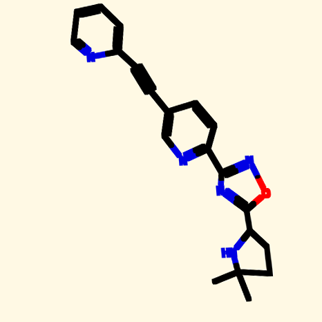 CC1(C)CCC(c2nc(-c3ccc(C#Cc4ccccn4)cn3)no2)N1